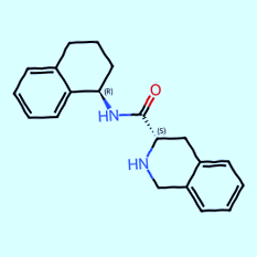 O=C(N[C@@H]1CCCc2ccccc21)[C@@H]1Cc2ccccc2CN1